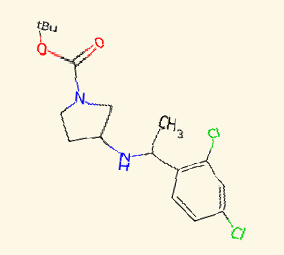 CC(NC1CCN(C(=O)OC(C)(C)C)C1)c1ccc(Cl)cc1Cl